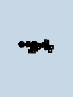 CCC(CN(C)C(=O)Cc1ccc(N2CCC(c3ccccc3)CC2)c(OC(C)C)c1)c1ccc(Cl)c(Cl)c1.Cl